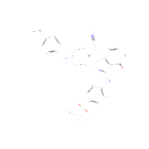 CC(C)c1ccc(CN2CCC(CC#N)(n3nc(Nc4ccc(S(=O)(=O)N(C)C)cc4)c4c(=O)[nH]ccc43)CC2)cc1